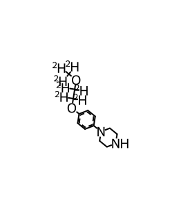 [2H]C([2H])([2H])OC([2H])([2H])C([2H])([2H])Oc1ccc(N2CCNCC2)cc1